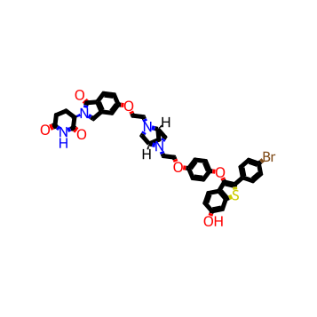 O=C1CC[C@@H](N2Cc3cc(OCCN4C[C@H]5C[C@@H]4CN5CCOc4ccc(Oc5c(-c6ccc(Br)cc6)sc6cc(O)ccc56)cc4)ccc3C2=O)C(=O)N1